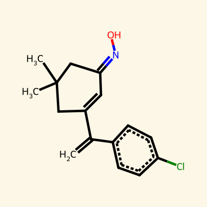 C=C(C1=C/C(=N/O)CC(C)(C)C1)c1ccc(Cl)cc1